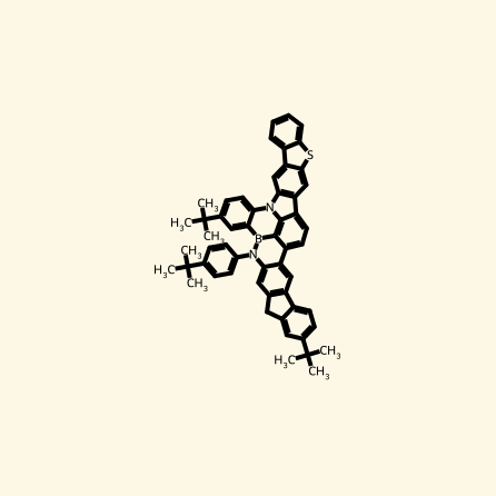 CC(C)(C)c1ccc(N2B3c4cc(C(C)(C)C)ccc4-n4c5cc6c(cc5c5ccc(c3c54)-c3cc4c(cc32)Cc2cc(C(C)(C)C)ccc2-4)sc2ccccc26)cc1